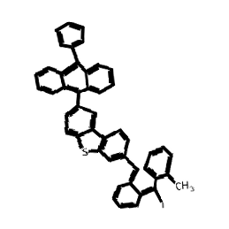 Cc1ccccc1/C(I)=c1/cccc/c1=C\c1ccc2c(c1)sc1ccc(-c3c4ccccc4c(-c4ccccc4)c4ccccc34)cc12